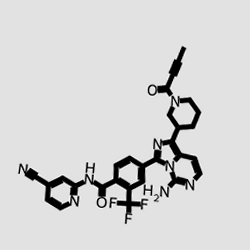 CC#CC(=O)N1CCCC(c2nc(-c3ccc(C(=O)Nc4cc(C#N)ccn4)c(C(F)(F)F)c3)n3c(N)nccc23)C1